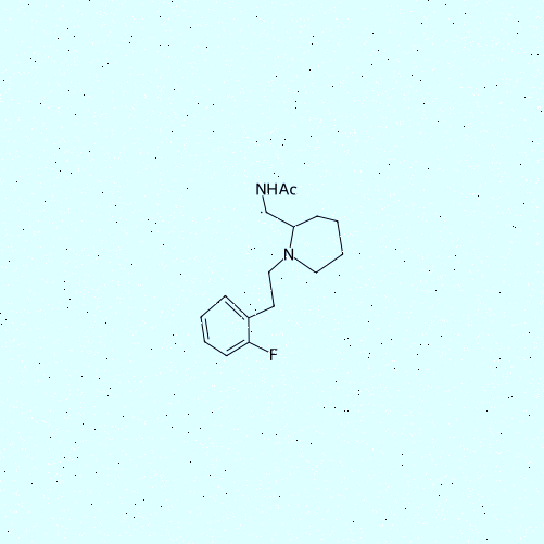 CC(=O)N[CH]C1CCCCN1CCc1ccccc1F